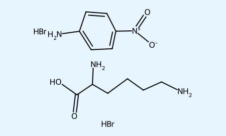 Br.Br.NCCCCC(N)C(=O)O.Nc1ccc([N+](=O)[O-])cc1